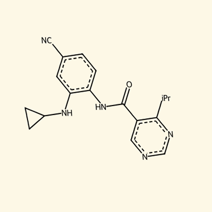 CC(C)c1ncncc1C(=O)Nc1ccc(C#N)cc1NC1CC1